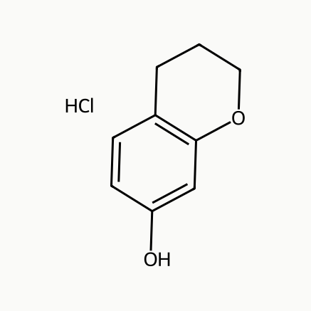 Cl.Oc1ccc2c(c1)OCCC2